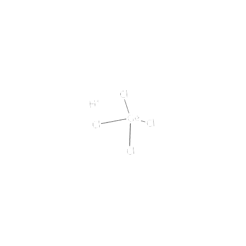 [Cl][Ge]([Cl])([Cl])[Cl].[H+]